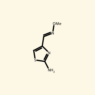 CON=Cc1csc(N)n1